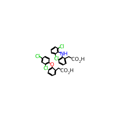 O=C(O)Cc1ccccc1Nc1c(Cl)cccc1Cl.O=C(O)Cc1ccccc1Oc1ccc(Cl)cc1Cl